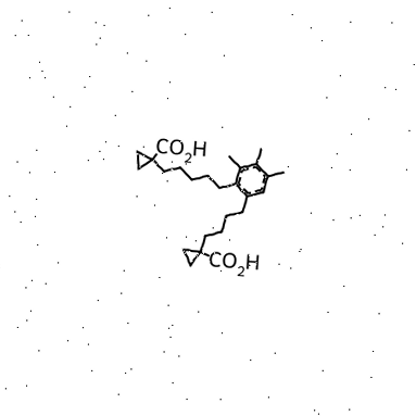 Cc1cc(CCCCC2(C(=O)O)CC2)c(CCCCCC2(C(=O)O)CC2)c(C)c1C